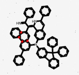 N=C(/C(=C1\NC(c2ccccc2)=Cc2ccc(N(c3cc(-c4ccccc4)cc(-c4ccccc4)c3)c3ccc4c(c3)C(c3ccccc3)(c3ccccc3)c3ccccc3-4)cc21)c1ccccc1)c1ccccc1